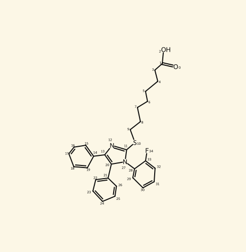 O=C(O)CCCCCCCSc1nc(-c2ccccc2)c(-c2ccccc2)n1-c1ccccc1F